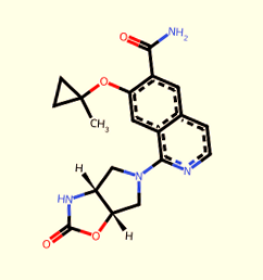 CC1(Oc2cc3c(N4C[C@@H]5OC(=O)N[C@@H]5C4)nccc3cc2C(N)=O)CC1